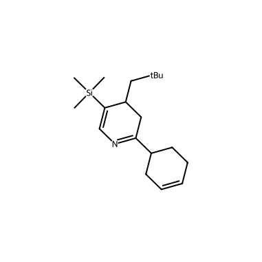 CC(C)(C)CC1CC(C2CC=CCC2)=NC=C1[Si](C)(C)C